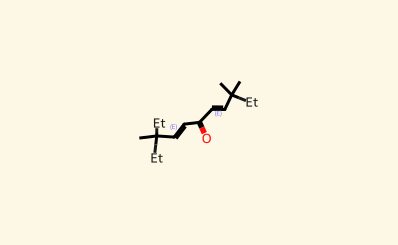 CCC(C)(C)/C=C/C(=O)/C=C/C(C)(CC)CC